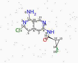 Nc1nc(Cl)cc2cc(NC(=O)[C@H]3C[C@H]3F)ncc12